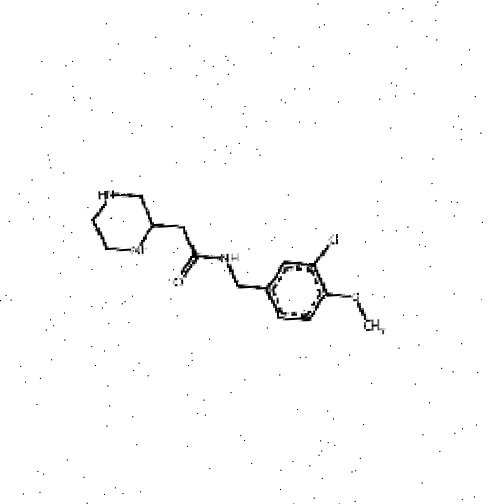 COc1ccc(CNC(=O)CC2CNCCN2)cc1Cl